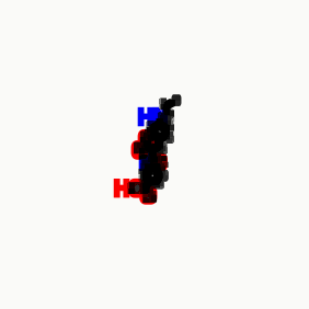 CCCNc1ccc2cc(-c3nc4cc(C(=O)O)ccc4o3)c(=O)oc2c1